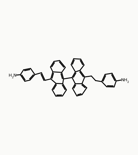 Nc1ccc(C=Cc2c3ccccc3c(-c3c4ccccc4c(CCc4ccc(N)cc4)c4ccccc34)c3ccccc23)cc1